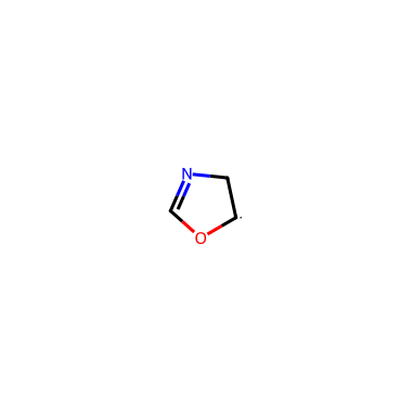 [CH]1CN=CO1